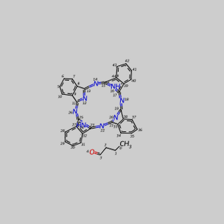 CCCC=O.c1ccc2c(c1)-c1nc-2nc2[nH]c(nc3nc(nc4[nH]c(n1)c1ccccc41)-c1ccccc1-3)c1ccccc21